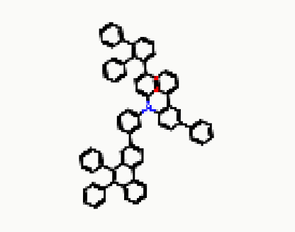 c1ccc(-c2ccc(N(c3ccc(-c4cccc(-c5ccccc5)c4-c4ccccc4)cc3)c3cccc(-c4ccc5c(c4)c(-c4ccccc4)c(-c4ccccc4)c4ccccc45)c3)c(-c3ccccc3)c2)cc1